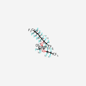 FC(F)(F)C(F)(F)C(F)(F)O[Si](OC(F)(C(F)(F)C(F)(F)F)C(F)(F)C(F)(F)C(F)(F)C(F)(F)C(F)(F)F)(C(F)(F)F)C(F)(F)C(F)(F)F